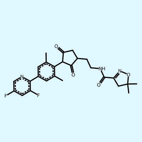 Cc1cc(-c2ncc(F)cc2F)cc(C)c1C1C(=O)CC(CCNC(=O)C2=NOC(C)(C)C2)C1=O